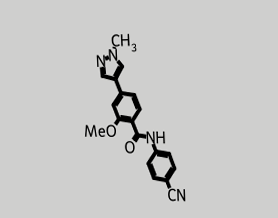 COc1cc(-c2cnn(C)c2)ccc1C(=O)Nc1ccc(C#N)cc1